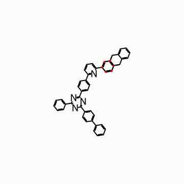 C1=CC2=C(CC1)C1c3ccccc3C2c2cc(-c3cccc(-c4ccc(-c5nc(-c6ccccc6)nc(-c6ccc(-c7ccccc7)cc6)n5)cc4)n3)ccc21